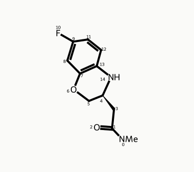 CNC(=O)C[C@H]1COc2cc(F)ccc2N1